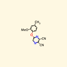 COc1cc(C)ccc1Oc1cnc(C#N)c(C#N)n1